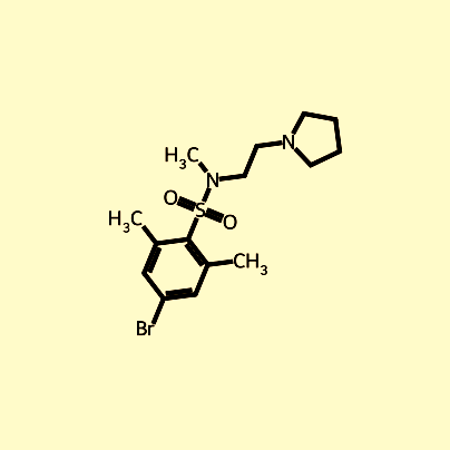 Cc1cc(Br)cc(C)c1S(=O)(=O)N(C)CCN1CCCC1